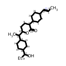 C/C=C/C1CCC(C2CCC(C(C)C3CCC(C(O)CC)CC3)OC2=O)CC1